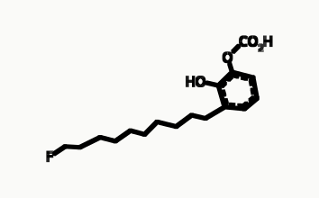 O=C(O)Oc1cccc(CCCCCCCCCCF)c1O